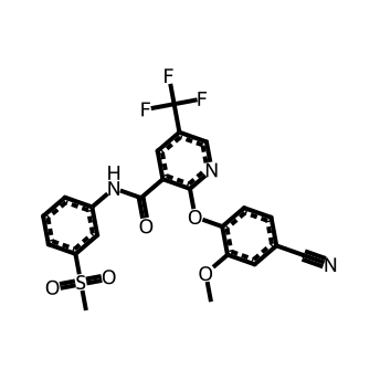 COc1cc(C#N)ccc1Oc1ncc(C(F)(F)F)cc1C(=O)Nc1cccc(S(C)(=O)=O)c1